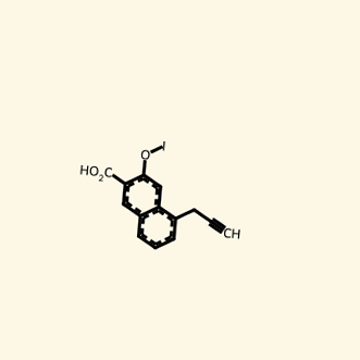 C#CCc1cccc2cc(C(=O)O)c(OI)cc12